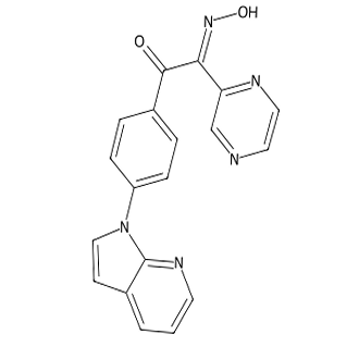 O=C(/C(=N/O)c1cnccn1)c1ccc(-n2ccc3cccnc32)cc1